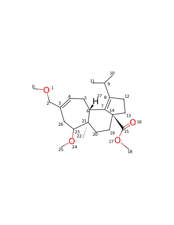 COCC1=CC[C@@H]2C3=C(C(C)C)CC[C@]3(C(=O)OC)CC[C@@]2(C)C(OC)C1